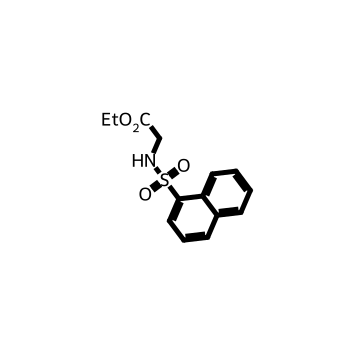 CCOC(=O)CNS(=O)(=O)c1cccc2ccccc12